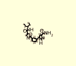 CCC(CC)NC(=O)c1cnc(-c2cccc(-c3cc(C(N)=O)n[nH]3)c2)o1